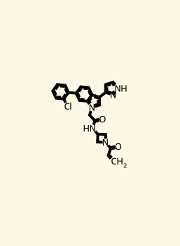 C=CC(=O)N1CC(NC(=O)Cn2cc(-c3cc[nH]n3)c3ccc(-c4ccccc4Cl)cc32)C1